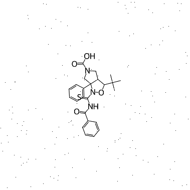 CC(C)(C)C1ON(C(=S)NC(=O)c2ccccc2)C2(c3ccccc3)CN(C(=O)O)CC12